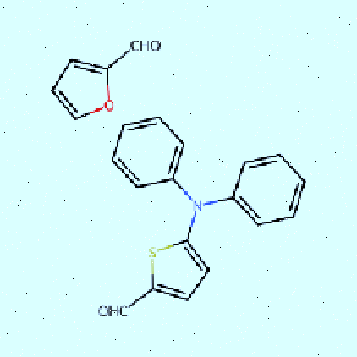 O=Cc1ccc(N(c2ccccc2)c2ccccc2)s1.O=Cc1ccco1